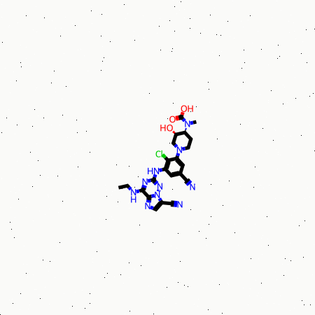 CCNc1nc(Nc2cc(C#N)cc(N3CC[C@@H](N(C)C(=O)O)[C@H](O)C3)c2Cl)nn2c(C#N)cnc12